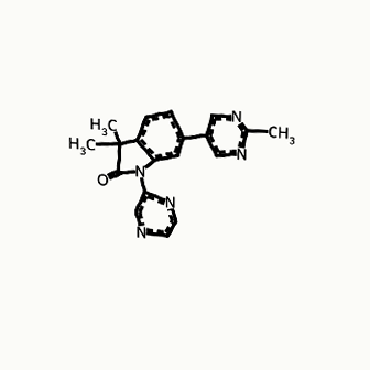 Cc1ncc(-c2ccc3c(c2)N(c2cnccn2)C(=O)C3(C)C)cn1